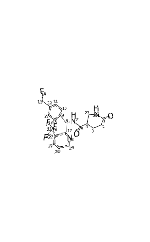 O=C1CCC(C(=O)N[C@@H](c2ccc(CF)cc2)c2ncccc2C(F)(F)F)CN1